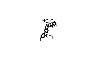 Cc1cc(F)ccc1-c1ccc2c(c1)CN(C)C2CNc1cnccc1C(=O)O